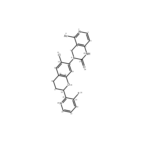 CC(=O)c1nccc2c1CN(c1cc3c(cc1Cl)CCC(c1ncccc1F)O3)C(=O)N2